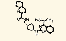 CN(C)c1nc(N[C@H]2CC[C@@H](CNC(=O)c3ccc4ccccc4n3)CC2)nc2ccccc12